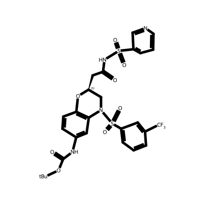 CC(C)(C)OC(=O)Nc1ccc2c(c1)N(S(=O)(=O)c1cccc(C(F)(F)F)c1)C[C@H](CC(=O)NS(=O)(=O)c1cccnc1)O2